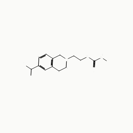 CNC(=O)NCCN1CCc2cc(C(C)C)ccc2C1